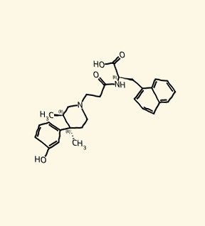 C[C@H]1CN(CCC(=O)N[C@H](Cc2cccc3ccccc23)C(=O)O)CC[C@@]1(C)c1cccc(O)c1